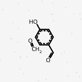 C=O.O=Cc1ccc(O)cc1